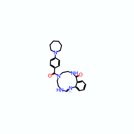 O=C1NCCN(C(=O)c2ccc(N3CCCCCC3)cc2)CCN/C=N/c2ccccc21